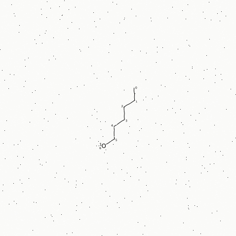 CCCCCC[1O]